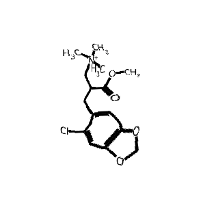 COC(=O)C(Cc1cc2c(cc1Cl)OCO2)C[N+](C)(C)C